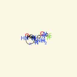 Nc1ncc2c3c1c(-c1ccc(C(=O)Nc4cc(C(F)(F)F)ccn4)cc1)nn3[C@@H]1CCC[C@H](C1)C(=O)NCCCC/C=C/C2